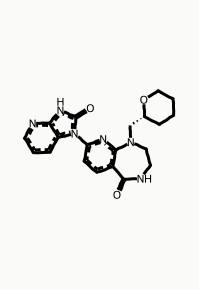 O=C1NCCN(C[C@H]2CCCCO2)c2nc(-n3c(=O)[nH]c4ncccc43)ccc21